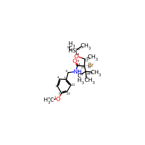 COc1ccc(CNC(=O)[C@@](Br)([C@@H](C)O[SiH](C)C)C(C)(C)C)cc1